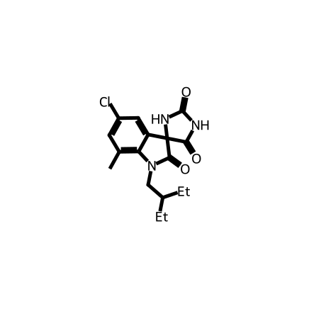 CCC(CC)CN1C(=O)C2(NC(=O)NC2=O)c2cc(Cl)cc(C)c21